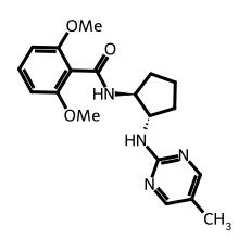 COc1cccc(OC)c1C(=O)N[C@H]1CCC[C@@H]1Nc1ncc(C)cn1